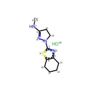 CCNC1=NN(c2nc3c(s2)CCCC3)CC1.Cl